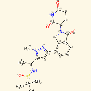 C[C@@H](N[S@+]([O-])C(C)(C)C)c1cc(-c2cccc3c2CN(C2CCC(=O)NC2=O)C3=O)nn1C